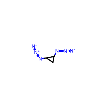 [N-]=[N+]=NC1CC1N=[N+]=[N-]